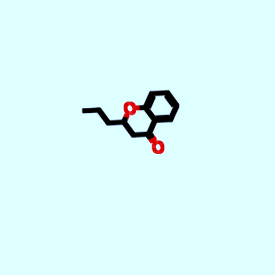 CCCC1CC(=O)c2ccccc2O1